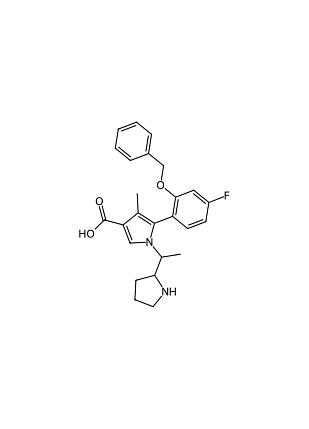 Cc1c(C(=O)O)cn(C(C)C2CCCN2)c1-c1ccc(F)cc1OCc1ccccc1